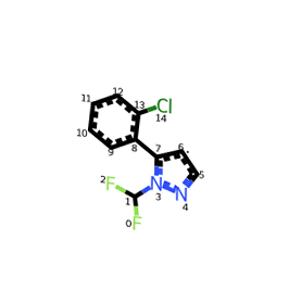 FC(F)n1nc[c]c1-c1ccccc1Cl